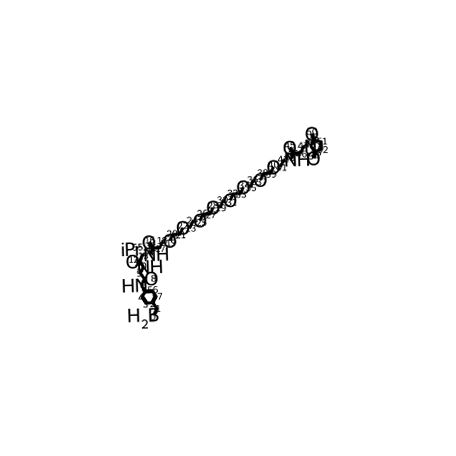 BCc1ccc(NC(=O)CNC(=O)C(NC(=O)CCOCCOCCOCCOCCOCCOCCOCCOCCNC(=O)CCN2C(=O)C=CC2=O)C(C)C)cc1